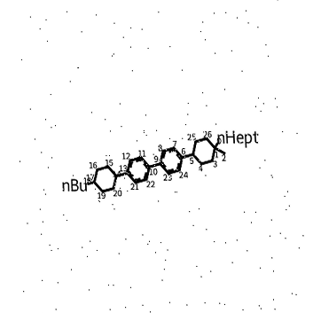 CCCCCCCC1(C)CCC(c2ccc(-c3ccc(C4CCC(CCCC)CC4)cc3)cc2)CC1